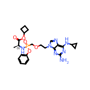 C[C@H](NP(=O)(COCCn1cnc2c(NC3CC3)nc(N)nc21)Oc1ccccc1)C(=O)OC1CCC1